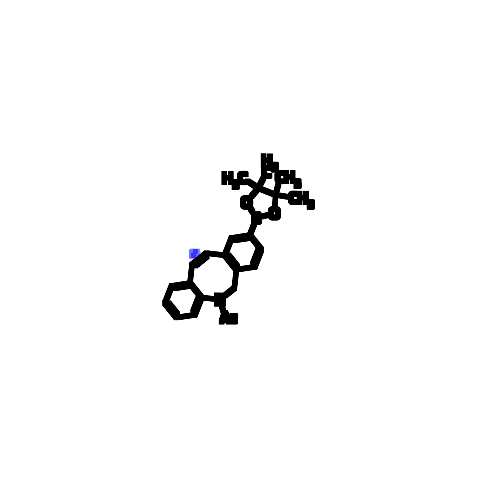 CC(=O)N1Cc2ccc(B3OC(C)(C)C(C)(C)O3)cc2/C=C\c2ccccc21